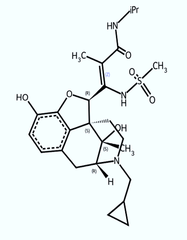 C/C(C(=O)NC(C)C)=C(/NS(C)(=O)=O)[C@@H]1Oc2c(O)ccc3c2[C@@]12CCN(CC1CC1)[C@H](C3)[C@@]2(C)O